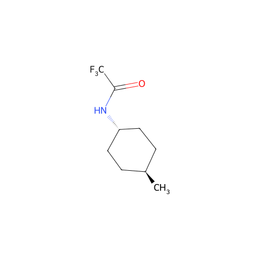 C[C@H]1CC[C@H](NC(=O)C(F)(F)F)CC1